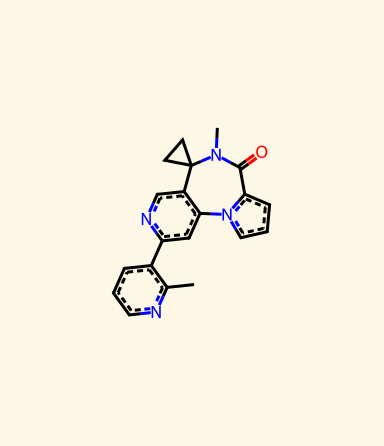 Cc1ncccc1-c1cc2c(cn1)C1(CC1)N(C)C(=O)c1cccn1-2